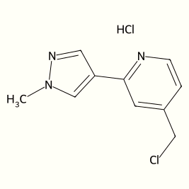 Cl.Cn1cc(-c2cc(CCl)ccn2)cn1